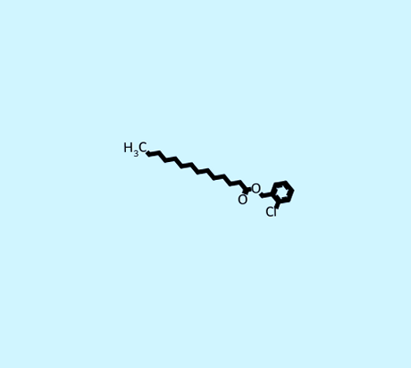 CCCCCCCCCCCCCC(=O)OCc1ccccc1Cl